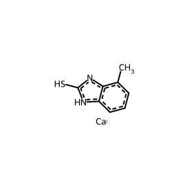 Cc1cccc2[nH]c(S)nc12.[Ca]